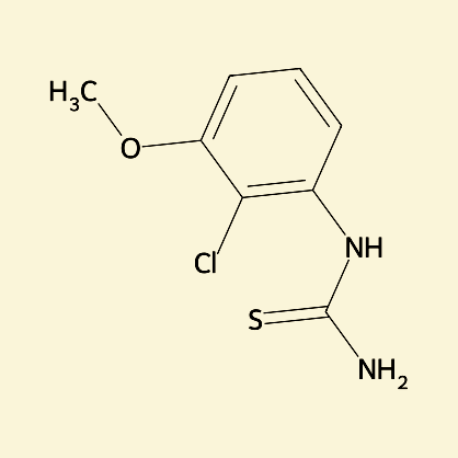 COc1cccc(NC(N)=S)c1Cl